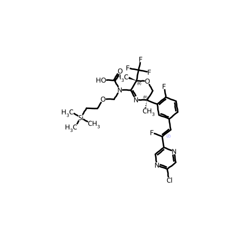 C[C@@]1(c2cc(/C=C(\F)c3cnc(Cl)cn3)ccc2F)CO[C@@](C)(C(F)(F)F)C(N(COCC[Si](C)(C)C)C(=O)O)=N1